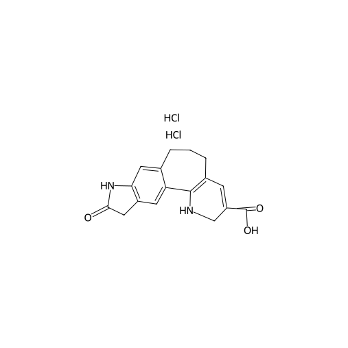 Cl.Cl.O=C1Cc2cc3c(cc2N1)CCCC1=C3NCC(C(=O)O)=C1